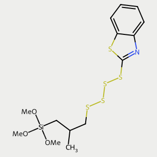 CO[Si](CC(C)CSSSSc1nc2ccccc2s1)(OC)OC